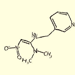 CN(C)/C(=C\[N+](=O)[O-])NCc1cccnc1